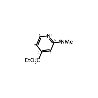 CCOC(=O)c1ccnc(NC)c1